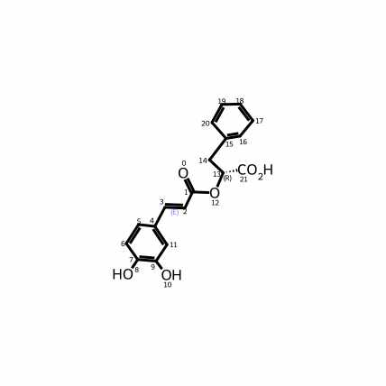 O=C(/C=C/c1ccc(O)c(O)c1)O[C@H](Cc1ccccc1)C(=O)O